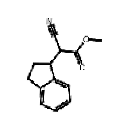 COC(=O)C(C#N)C1CCc2ccccc21